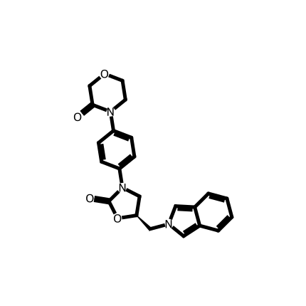 O=C1COCCN1c1ccc(N2C[C@@H](Cn3cc4ccccc4c3)OC2=O)cc1